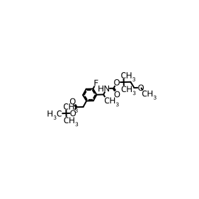 COCCC(C)(C)OC(=O)NC(C)c1cc(CC(=O)OC(C)(C)C)ccc1F